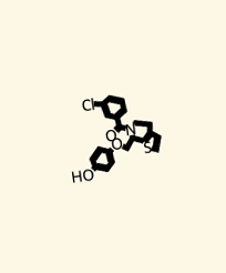 O=C(c1cccc(Cl)c1)N1CCc2ccsc2C1COc1ccc(O)cc1